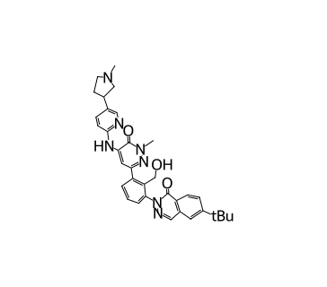 CN1CCC(c2ccc(Nc3cc(-c4cccc(-n5ncc6cc(C(C)(C)C)ccc6c5=O)c4CO)nn(C)c3=O)nc2)C1